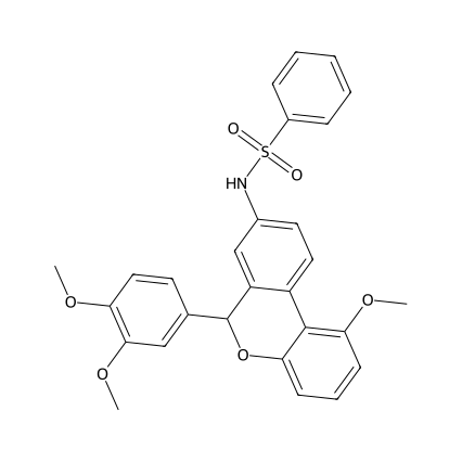 COc1ccc(C2Oc3cccc(OC)c3-c3ccc(NS(=O)(=O)c4ccccc4)cc32)cc1OC